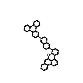 c1cc(-c2ccc3cc(-c4ccc5c6ccccc6c6ccccc6c5c4)ccc3c2)c2c(c1)-c1cccc3c1c(cc1ccccc13)O2